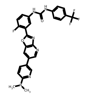 CN(C)c1ccc(-c2cnc3nc(-c4cc(NC(=O)Nc5ccc(C(F)(F)F)cc5)ccc4F)oc3c2)cn1